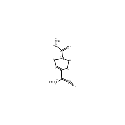 CCOC(=O)C(=[N+]=[N-])C1=CCN(C(=O)OC(C)(C)C)CC1